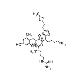 C=C1CC(CCc2noc([C@@H](CCCCN)NC(=O)[C@H](Cc3c(C)cc(O)cc3C)NC(=O)[C@H](N)CCCNC(=N)N)n2)C1